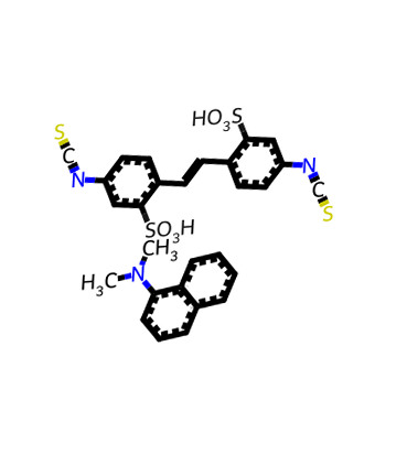 CN(C)c1cccc2ccccc12.O=S(=O)(O)c1cc(N=C=S)ccc1C=Cc1ccc(N=C=S)cc1S(=O)(=O)O